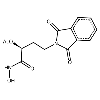 CC(=O)O[C@@H](CCN1C(=O)c2ccccc2C1=O)C(=O)NO